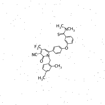 Cc1ccc(Cn2c(-c3ccc(Oc4cccc(C(=S)N(C)C)c4)cc3)cc(C(F)(F)F)c(C#N)c2=O)c(C)c1